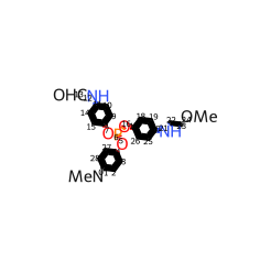 CNc1ccc(OP(Oc2ccc(NC=O)cc2)Oc2ccc(NCCOC)cc2)cc1